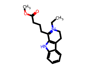 CC[N+]1=C(CCCC(=O)OC)c2[nH]c3ccccc3c2CC1